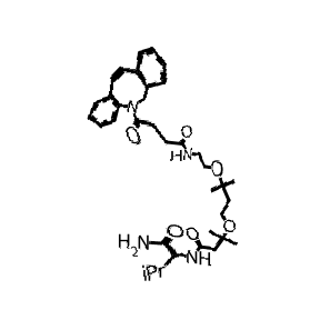 CC(C)C(NC(=O)CC(C)(C)OCCC(C)(C)OCCNC(=O)CCC(=O)N1Cc2ccccc2C#Cc2ccccc21)C(N)=O